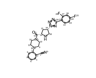 N#Cc1ccccc1N1CCN(C(=O)[C@@H]2C[C@H](n3nnc(-c4ccc(F)cc4F)n3)CN2)CC1